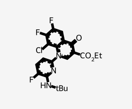 CCOC(=O)c1cn(-c2ccc(F)c(NC(C)(C)C)n2)c2c(Cl)c(F)c(F)cc2c1=O